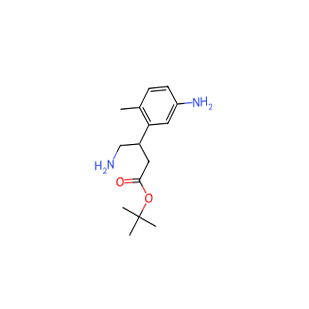 Cc1ccc(N)cc1C(CN)CC(=O)OC(C)(C)C